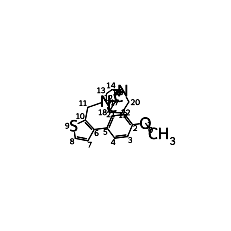 COc1ccc(-c2ccsc2CN2CCN3CCC2CC3)cc1